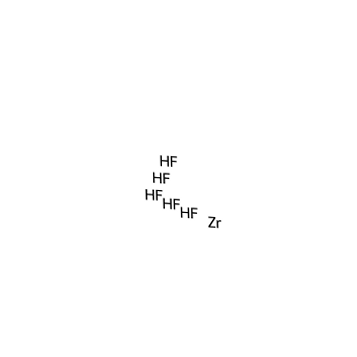 F.F.F.F.F.[Zr]